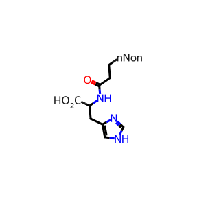 CCCCCCCCCCCC(=O)NC(Cc1c[nH]cn1)C(=O)O